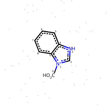 O=C(O)[n+]1c[nH]c2ccccc21